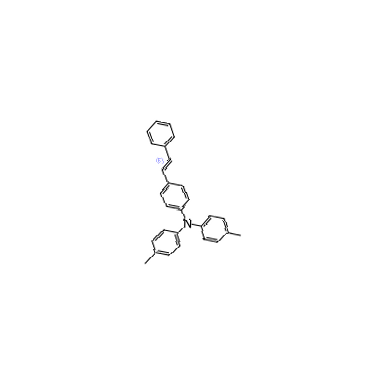 Cc1ccc(N(c2ccc(C)cc2)c2ccc(/C=C/c3ccccc3)cc2)cc1